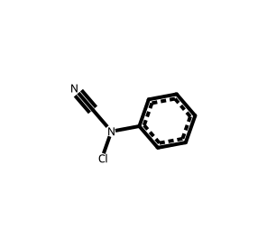 N#CN(Cl)c1ccccc1